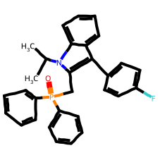 CC(C)n1c(CP(=O)(c2ccccc2)c2ccccc2)c(-c2ccc(F)cc2)c2ccccc21